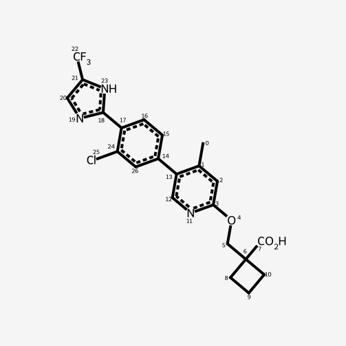 Cc1cc(OCC2(C(=O)O)CCC2)ncc1-c1ccc(-c2ncc(C(F)(F)F)[nH]2)c(Cl)c1